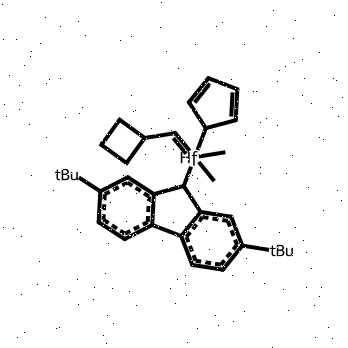 CC(C)(C)c1ccc2c(c1)[CH]([Hf]([CH3])([CH3])(=[CH]C1CCC1)[CH]1C=CC=C1)c1cc(C(C)(C)C)ccc1-2